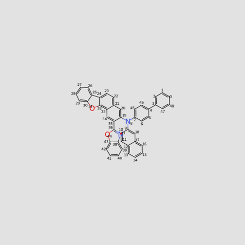 c1ccc(-c2ccc(N(c3ccc4ccccc4c3)c3cc4ccc5c6ccccc6oc5c4cc3-c3nc4ccccc4o3)cc2)cc1